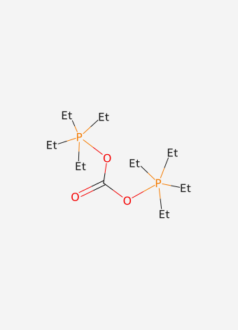 CCP(CC)(CC)(CC)OC(=O)OP(CC)(CC)(CC)CC